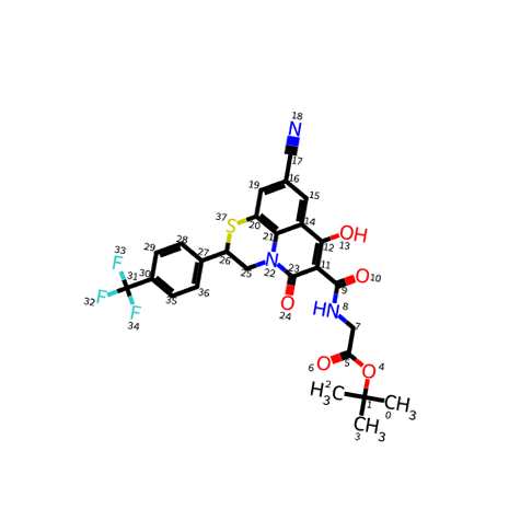 CC(C)(C)OC(=O)CNC(=O)c1c(O)c2cc(C#N)cc3c2n(c1=O)CC(c1ccc(C(F)(F)F)cc1)S3